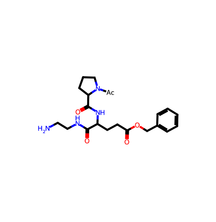 CC(=O)N1CCCC1C(=O)NC(CCC(=O)OCc1ccccc1)C(=O)NCCN